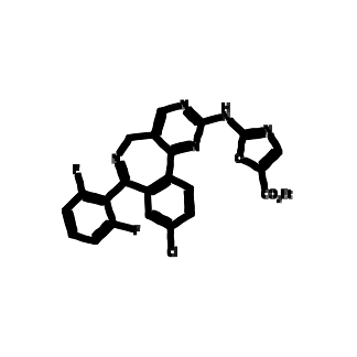 CCOC(=O)c1cnc(Nc2ncc3c(n2)-c2ccc(Cl)cc2C(c2c(F)cccc2F)=NC3)o1